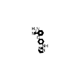 N#Cc1c(N)cccc1O[C@H]1CC[C@H](Nc2ncccn2)CC1